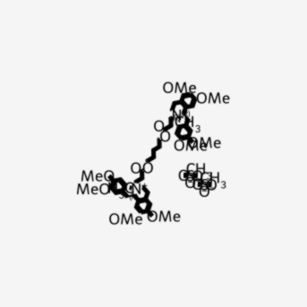 COc1ccc(C[C@@H]2c3cc(OC)c(OC)cc3CC[N+]2(C)CCC(=O)OCCCCCOC(=O)CC[N@@+]2(C)CCc3cc(OC)c(OC)cc3[C@H]2Cc2ccc(OC)c(OC)c2)cc1OC.CS(=O)(=O)[O-].CS(=O)(=O)[O-]